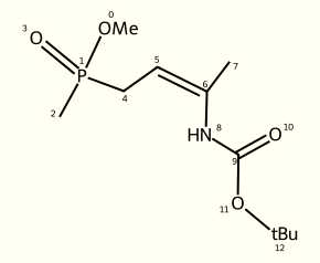 COP(C)(=O)C/C=C(/C)NC(=O)OC(C)(C)C